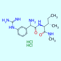 CC[C@H](C)[C@H](NC(=O)C(N)c1cccc(NC(=N)N)c1)C(=O)NC.Cl.Cl